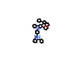 c1ccc(-c2cc3c(cc2-c2c(-c4ccccc4)ccc4ccccc24)c2ccccc2n3-c2ccc(-c3nc(-c4ccccc4)c4ccccc4n3)cc2)cc1